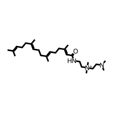 CC(C)=CCCC(C)=CCCC(C)=CCCC(C)=CC(=O)NCC[N+](C)(C)CCN(C)C